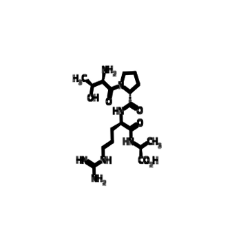 C[C@H](NC(=O)[C@@H](CCCNC(=N)N)NC(=O)[C@H]1CCCN1C(=O)[C@H](N)[C@H](C)O)C(=O)O